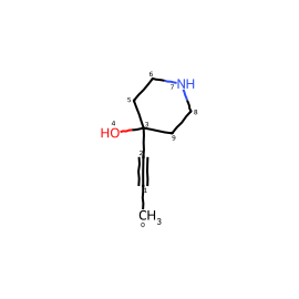 CC#CC1(O)CCNCC1